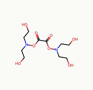 O=C(ON(CCO)CCO)C(=O)ON(CCO)CCO